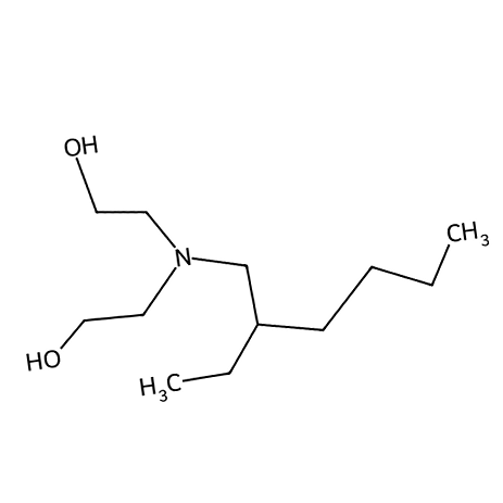 CCCCC(CC)CN(CCO)CCO